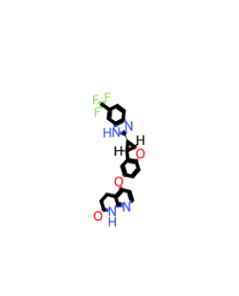 O=C1CCc2c(Oc3ccc4c(c3)[C@@H]3[C@H](O4)[C@H]3c3nc4ccc(C(F)(F)F)cc4[nH]3)ccnc2N1